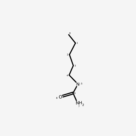 CCCCC[N]C(N)=O